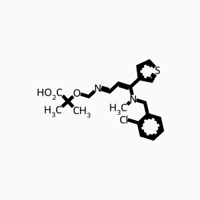 CN(Cc1ccccc1Cl)/C(=C\C=N\COC(C)(C)C(=O)O)c1ccsc1